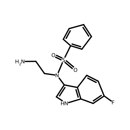 NCCN(c1c[nH]c2cc(F)ccc12)S(=O)(=O)c1ccccc1